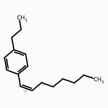 CCCCCC/C=[C]\c1ccc(CCC)cc1